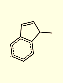 CC1C=Cc2c[c]ccc21